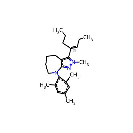 CC/C=C(\CCC)c1c2c(nn1C)N(c1c(C)cc(C)cc1C)CCCC2